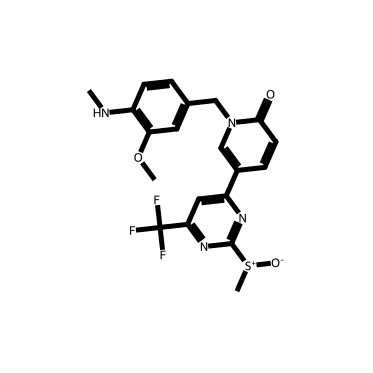 CNc1ccc(Cn2cc(-c3cc(C(F)(F)F)nc([S+](C)[O-])n3)ccc2=O)cc1OC